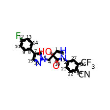 C=CC(O)(Cn1cc(-c2ccc(F)cc2)cn1)C(=O)Nc1ccc(C#N)c(C(F)(F)F)c1